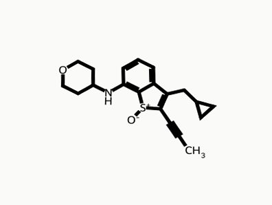 CC#Cc1c(CC2CC2)c2cccc(NC3CCOCC3)c2[s+]1[O-]